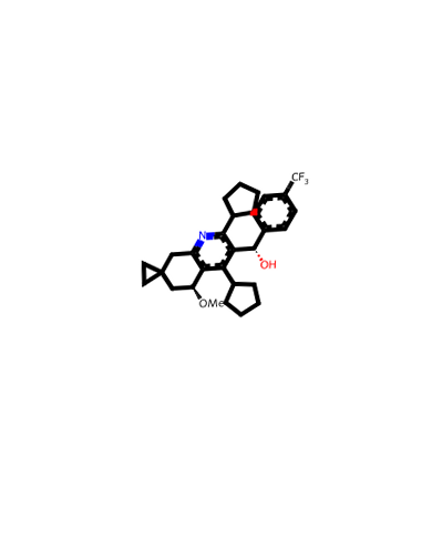 CO[C@H]1CC2(CC2)Cc2nc(C3CCCC3)c([C@@H](O)c3ccc(C(F)(F)F)cc3)c(C3CCCC3)c21